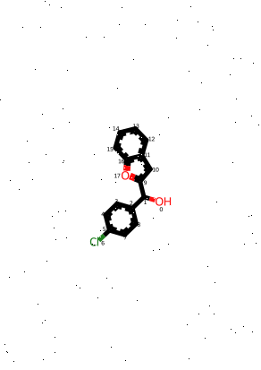 OC(c1ccc(Cl)cc1)c1cc2ccccc2o1